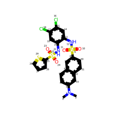 CN(C)c1ccc2cc(S(=O)(=O)Nc3cc(Cl)c(Cl)cc3NS(=O)(=O)c3cccs3)ccc2c1